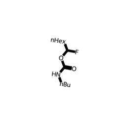 CCCCCCC(F)OC(=O)NCCCC